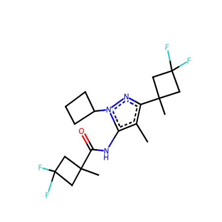 Cc1c(C2(C)CC(F)(F)C2)nn(C2CCC2)c1NC(=O)C1(C)CC(F)(F)C1